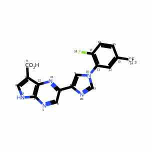 O=C(O)c1c[nH]c2ncc(-c3cn(-c4cc(C(F)(F)F)ccc4F)cn3)nc12